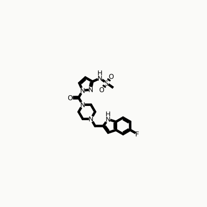 CS(=O)(=O)Nc1ccn(C(=O)N2CCN(Cc3cc4cc(F)ccc4[nH]3)CC2)n1